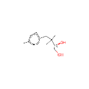 Cc1ccc(CC(C)(C)[C@@H](O)CO)cc1